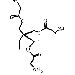 CCC(COC(=O)CS)(COC(=O)CS)[C@H](C)OC(=O)CN